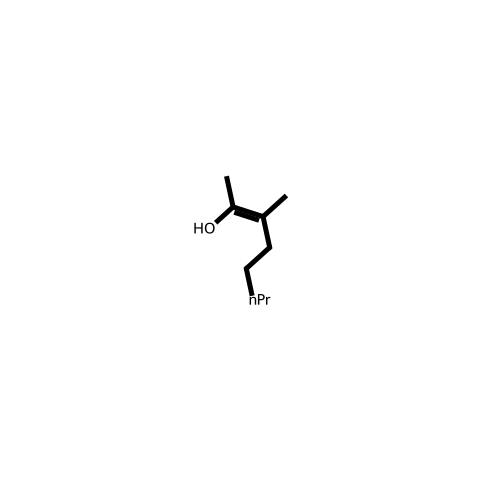 CCCCCC(C)=C(C)O